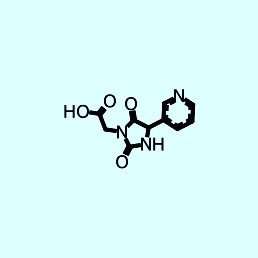 O=C(O)CN1C(=O)NC(c2cccnc2)C1=O